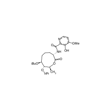 CCCO[C@H]1[C@H](C)OC(=O)[C@@H](NC(=O)c2nccc(OC)c2O)CCC[C@@H]1OCC(C)C